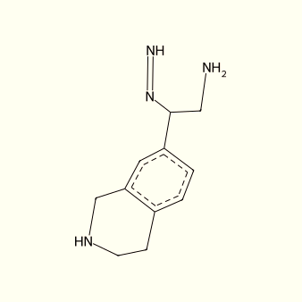 N=NC(CN)c1ccc2c(c1)CNCC2